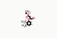 CCOC(=O)/C=C(/CBr)Oc1cccc(C)c1C